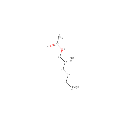 CCCCCCCCCCCCOC(=O)C(F)(F)F.[NaH]